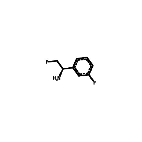 N[C@@H](CF)c1cccc(F)c1